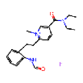 CCN(CC)C(=O)c1ccc(CCc2ccccc2NC=O)[n+](C)c1.[I-]